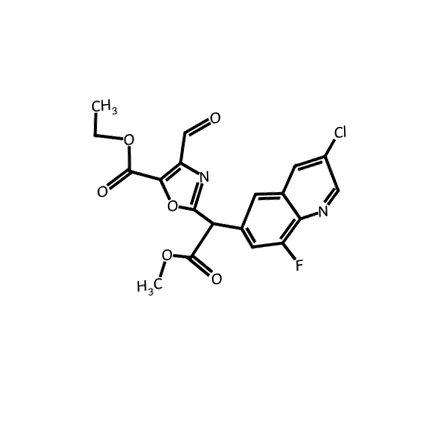 CCOC(=O)c1oc(C(C(=O)OC)c2cc(F)c3ncc(Cl)cc3c2)nc1C=O